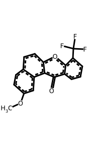 COc1ccc2ccc3oc4c(C(F)(F)F)cccc4c(=O)c3c2c1